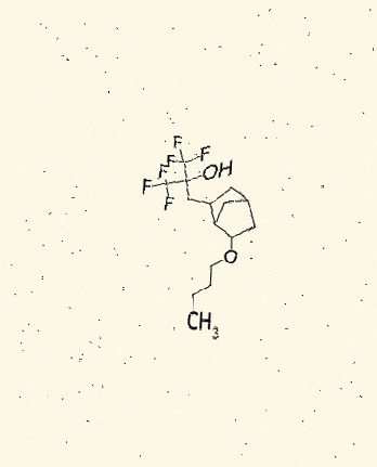 CCCCOC1CC2CC(CC(O)(C(F)(F)F)C(F)(F)F)C1C2